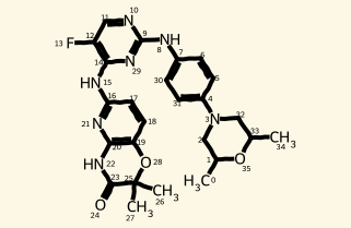 CC1CN(c2ccc(Nc3ncc(F)c(Nc4ccc5c(n4)NC(=O)C(C)(C)O5)n3)cc2)CC(C)O1